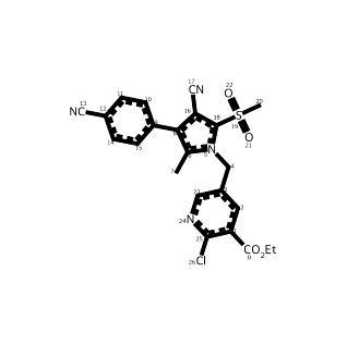 CCOC(=O)c1cc(Cn2c(C)c(-c3ccc(C#N)cc3)c(C#N)c2S(C)(=O)=O)cnc1Cl